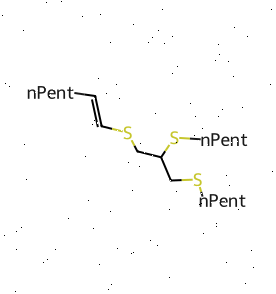 CCCCCC=CSCC(CSCCCCC)SCCCCC